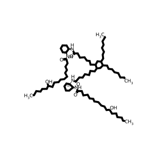 CCCCCCCCC1CC(CCCCCCC(=O)N[C@H]2CCCC[C@H]2NC(=O)CCCCCCCCCCC(O)CCCCCC)C(CCCCCCC(=O)N[C@@H]2CCCC[C@@H]2NC(=O)CCCCCCCCCCC(O)CCCCCC)CC1CCCCCCCC